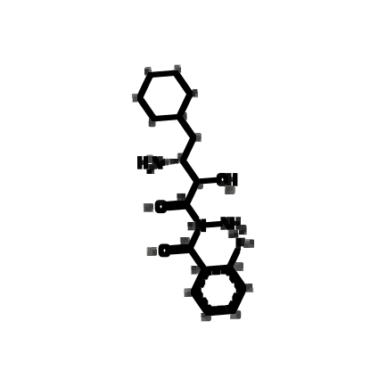 N[C@H](CC1CCCCC1)C(O)C(=O)N(N)C(=O)c1ccccc1F